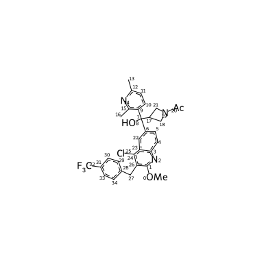 COc1nc2ccc(C(O)(c3ccc(C)nc3C)C3CN(C(C)=O)C3)cc2c(Cl)c1Cc1ccc(C(F)(F)F)cc1